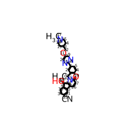 CC(c1cccc(-c2ncc(OCC3CCN(C)CC3)cn2)c1)n1c2c(ccc1=O)-c1cc(C#N)ccc1C2O